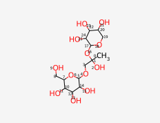 CC(O)(COC1OC(CO)C(O)C(O)C1O)OC1OCC(O)C(O)C1O